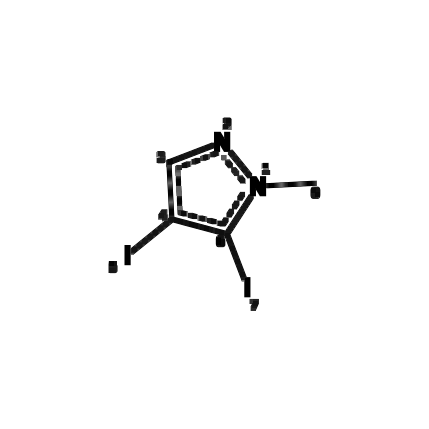 Cn1ncc(I)c1I